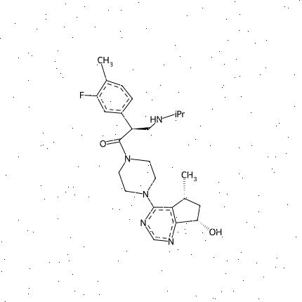 Cc1ccc([C@@H](CNC(C)C)C(=O)N2CCN(c3ncnc4c3[C@H](C)C[C@@H]4O)CC2)cc1F